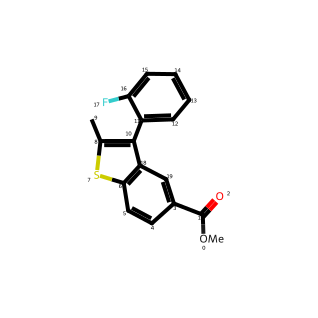 COC(=O)c1ccc2sc(C)c(-c3ccccc3F)c2c1